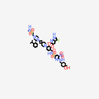 CNS(=O)(=O)CCN1CCN(C2CC3(CCN(c4ccc(C(=O)NS(=O)(=O)c5cnc(NCC6CCC(C)(O)CC6)c([N+](=O)[O-])c5)c(Oc5cc6c(F)c[nH]c6nc5OC)c4)CC3)C2)[C@H](c2ccccc2C(C)C)C1